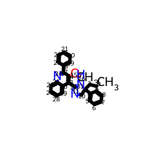 CCCC1(c2ccccc2)CN=C(c2c(OC)c(-c3ccccc3)nc3ccccc23)N1